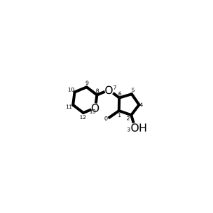 CC1C(O)CCC1OC1CCCCO1